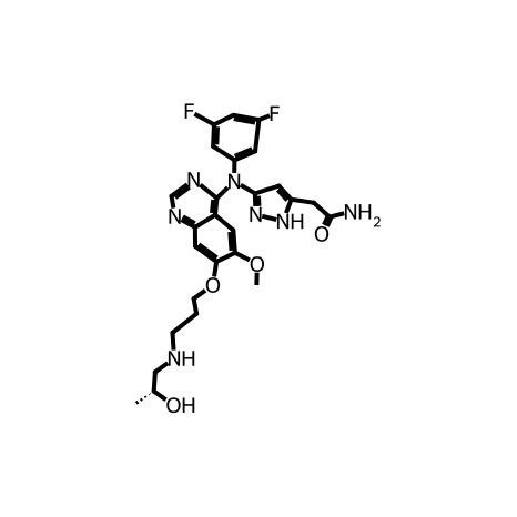 COc1cc2c(N(c3cc(F)cc(F)c3)c3cc(CC(N)=O)[nH]n3)ncnc2cc1OCCCNC[C@@H](C)O